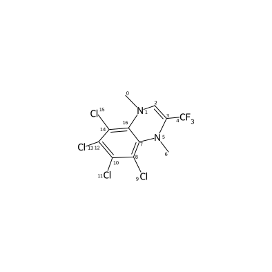 CN1C=C(C(F)(F)F)N(C)c2c(Cl)c(Cl)c(Cl)c(Cl)c21